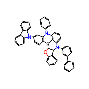 c1ccc(-c2cccc(N3c4cccc5c4B(c4ccc(-n6c7ccccc7c7ccccc76)cc4N5c4ccccc4)C4Oc5ccccc5C43)c2)cc1